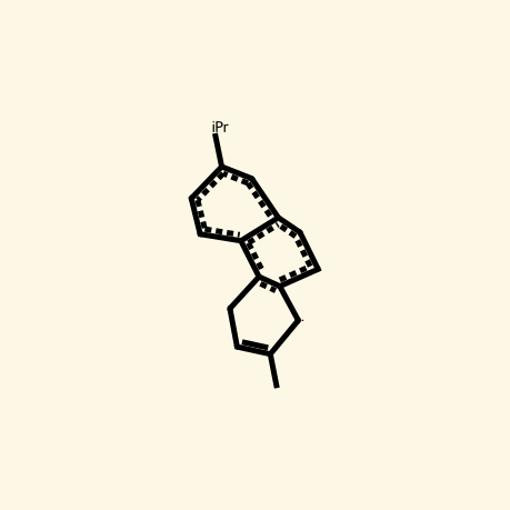 CC1=CCc2c(ccc3cc(C(C)C)ccc23)[CH]1